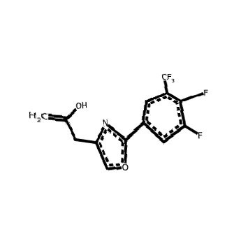 C=C(O)Cc1coc(-c2cc(F)c(F)c(C(F)(F)F)c2)n1